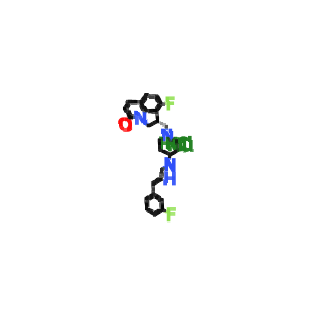 Cl.Cl.O=c1ccc2ccc(F)c3c2n1C[C@H]3CN1CCC(NCC=Cc2cccc(F)c2)CC1